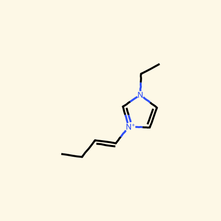 CCC=C[n+]1ccn(CC)c1